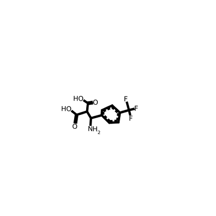 NC(c1ccc(C(F)(F)F)cc1)C(C(=O)O)C(=O)O